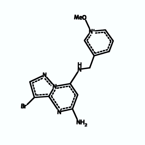 CO[n+]1cccc(CNc2cc(N)nc3c(Br)cnn23)c1